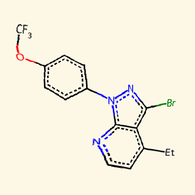 CCc1ccnc2c1c(Br)nn2-c1ccc(OC(F)(F)F)cc1